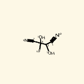 N#CC(O)C(O)(F)C#N